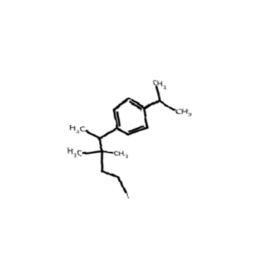 CC(C)c1ccc(C(C)C(C)(C)CCI)cc1